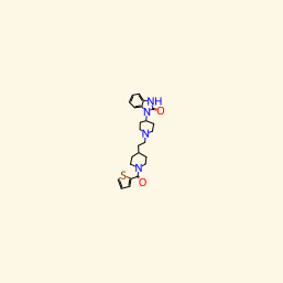 O=C(c1cccs1)N1CCC(CCN2CCC(n3c(=O)[nH]c4ccccc43)CC2)CC1